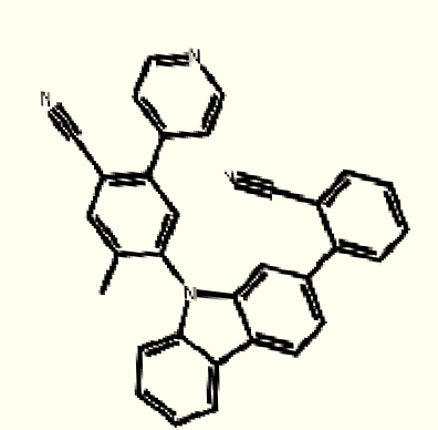 Cc1cc(C#N)c(-c2ccncc2)cc1-n1c2ccccc2c2ccc(-c3ccccc3C#N)cc21